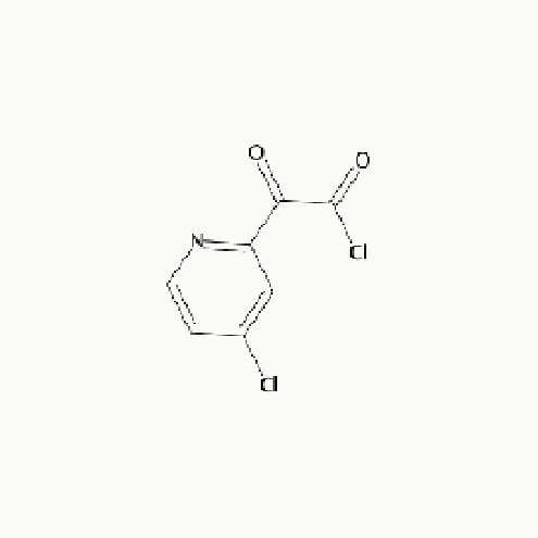 O=C(Cl)C(=O)c1cc(Cl)ccn1